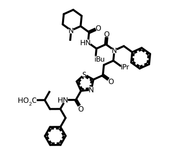 CCC(C)C(NC(=O)C1CCCCN1C)C(=O)N(Cc1ccccc1)C(CC(=O)c1nc(C(=O)NC(Cc2ccccc2)CC(C)C(=O)O)cs1)C(C)C